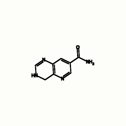 NC(=O)c1cnc2c(c1)N=CNC2